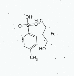 CCCCO.Cc1ccc(S(=O)(=O)O)cc1.[Fe]